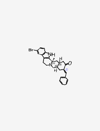 C[C@@]12C[C@@H]3CC(=O)/C(=C/c4ccccc4)C[C@H]3CN1CCc1c2[nH]c2ccc(Br)cc12